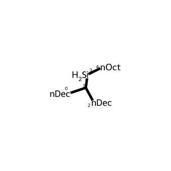 CCCCCCCCCCC(CCCCCCCCCC)[SiH2]CCCCCCCC